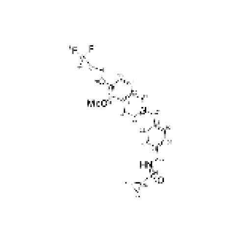 COc1c(OCC2CC2(F)F)ccc2c1CCN(Cc1ccc(CNC(=O)C3CC3)cc1)C2